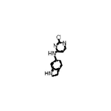 Clc1nccc(Nc2ccc3cc[nH]c3c2)n1